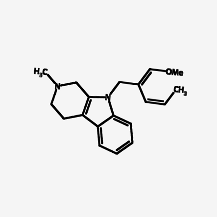 C/C=C\C(=C/OC)Cn1c2c(c3ccccc31)CCN(C)C2